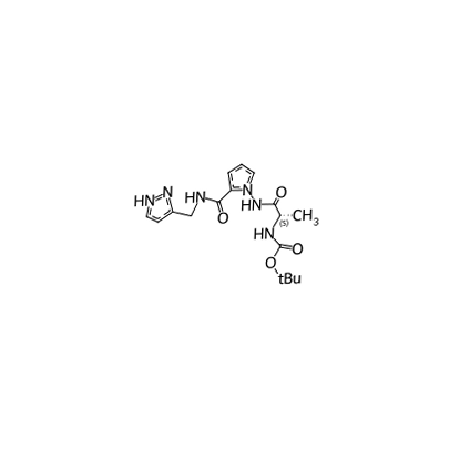 C[C@H](NC(=O)OC(C)(C)C)C(=O)Nn1cccc1C(=O)NCc1cc[nH]n1